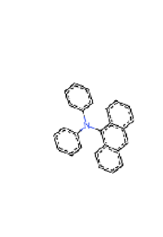 c1ccc(N(c2ccccc2)c2c3ccccc3cc3ccccc23)cc1